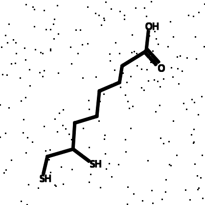 O=C(O)CCCCCC(S)CS